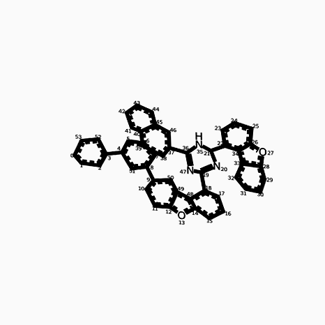 c1ccc(-c2cccc(-c3ccc4oc5cccc(C6=NC(c7cccc8oc9ccccc9c78)NC(c7ccc8ccccc8c7)=N6)c5c4c3)c2)cc1